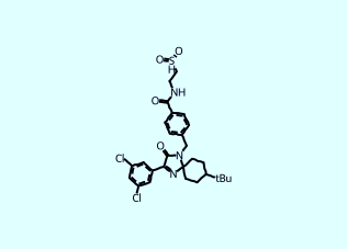 CC(C)(C)C1CCC2(CC1)N=C(c1cc(Cl)cc(Cl)c1)C(=O)N2Cc1ccc(C(=O)NCC[SH](=O)=O)cc1